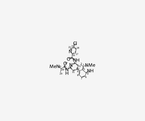 CN/C(C)=C1\C(=N)C=CC=C1c1cc(NC(=O)c2ccc(Cl)cn2)nc(NC(=O)C(C)NC)c1